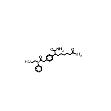 NC(=O)CCCCCC(C(N)=O)c1ccc(CC(=O)N(CCO)c2ccccc2)cc1